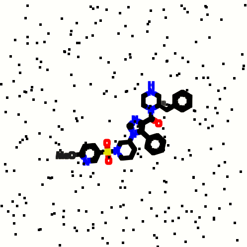 COc1ccc(S(=O)(=O)N2CCCC(n3cnc(C(=O)N4CCNC[C@H]4Cc4ccccc4)c3-c3ccccc3)C2)cn1